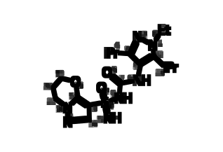 CCn1nc(C(C)C)c(NC(=O)N[S@](=N)(=O)c2cnn3c2OCCC3)c1C(C)C